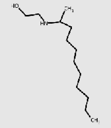 CCCCCCCCCC(C)NCCO